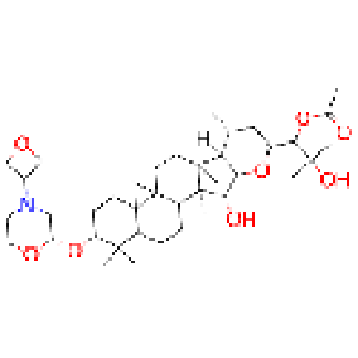 CC(=O)OC(C1C[C@@H](C)[C@H]2C(O1)[C@H](O)[C@@]1(C)C3CCC4C(C)(C)C(O[C@H]5CN(C6COC6)CCO5)CCC45CC35CCC21C)C(C)(C)O